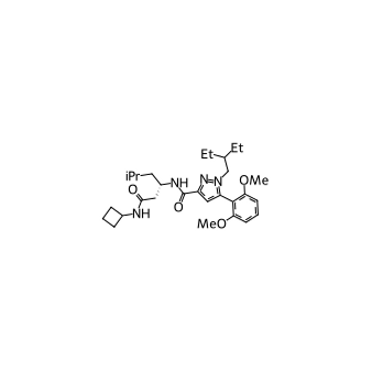 CCC(CC)Cn1nc(C(=O)N[C@H](CC(=O)NC2CCC2)CC(C)C)cc1-c1c(OC)cccc1OC